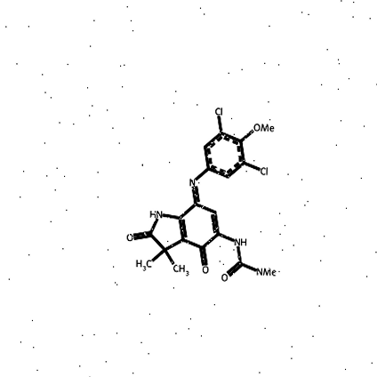 CNC(=O)NC1=CC(=Nc2cc(Cl)c(OC)c(Cl)c2)C2=C(C1=O)C(C)(C)C(=O)N2